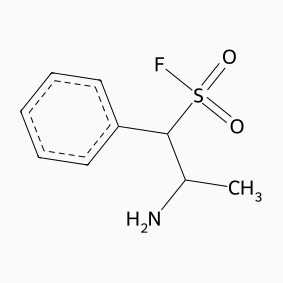 CC(N)C(c1ccccc1)S(=O)(=O)F